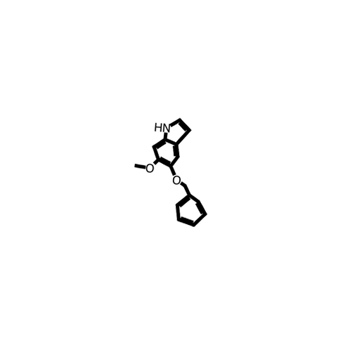 COc1cc2[nH]ccc2cc1OCc1ccccc1